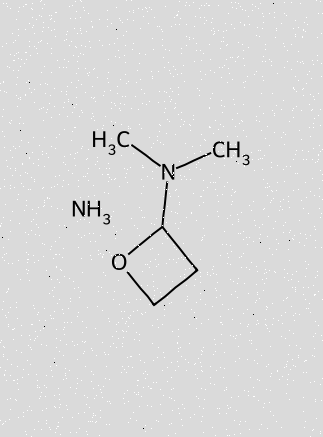 CN(C)C1CCO1.N